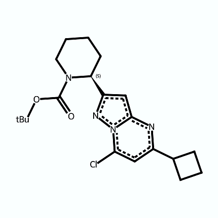 CC(C)(C)OC(=O)N1CCCC[C@H]1c1cc2nc(C3CCC3)cc(Cl)n2n1